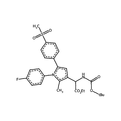 CCOC(=O)C(NC(=O)OC(C)(C)C)c1cc(-c2ccc(S(C)(=O)=O)cc2)n(-c2ccc(F)cc2)c1C